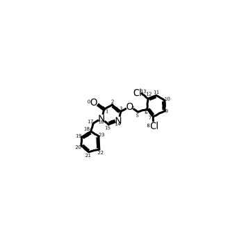 O=c1cc(OCc2c(Cl)cccc2Cl)ncn1Cc1ccccc1